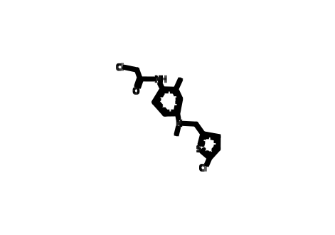 Cc1cc(N(C)Cc2ccc(Cl)s2)ccc1NC(=O)CCl